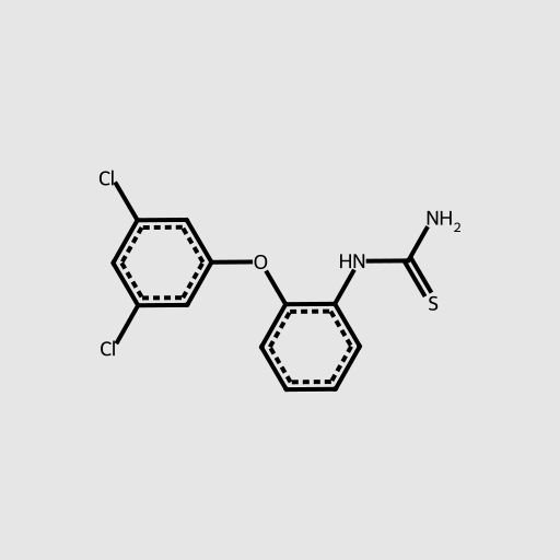 NC(=S)Nc1ccccc1Oc1cc(Cl)cc(Cl)c1